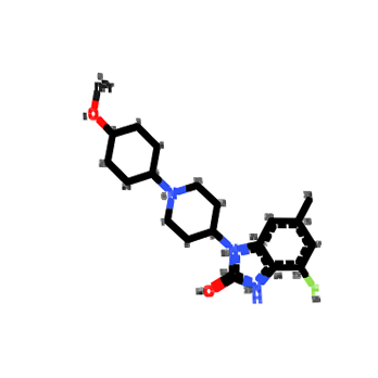 CCCOC1CCC(N2CCC(n3c(=O)[nH]c4c(F)cc(C)cc43)CC2)CC1